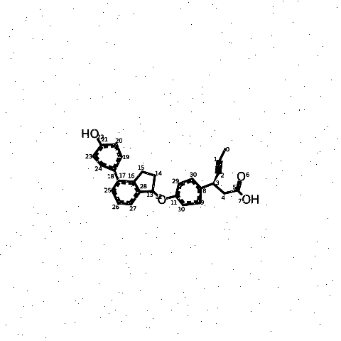 CC#C[C@@H](CC(=O)O)c1ccc(OC2CCc3c(-c4ccc(O)cc4)cccc32)cc1